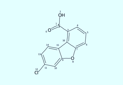 O=S(O)c1cccc2oc3cc(Cl)ccc3c12